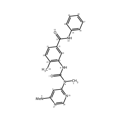 CNc1cc(N(C)C(=O)Nc2cc(C(=O)Nc3ccccc3)ccc2C)ncn1